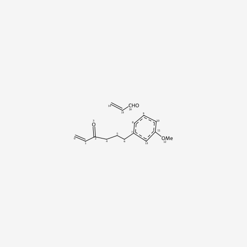 C=CC(=O)CCCc1cccc(OC)c1.C=CC=O